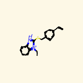 C=Cc1ccc(CSc2[nH]c3ccccc3[n+]2CC)cc1